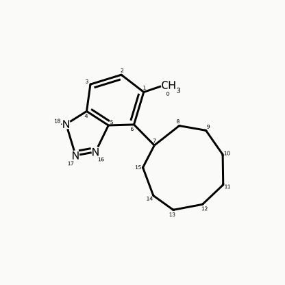 Cc1ccc2c(c1C1CCCCCCCC1)N=N[N]2